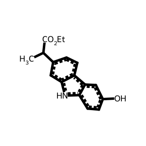 CCOC(=O)C(C)c1ccc2c(c1)[nH]c1ccc(O)cc12